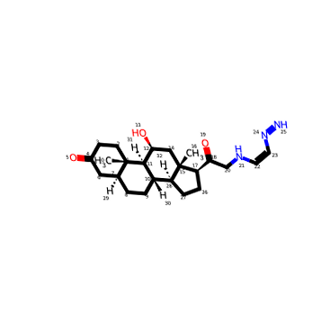 C[C@]12CCC(=O)C[C@@H]1CC[C@@H]1[C@@H]2[C@@H](O)C[C@]2(C)[C@@H](C(=O)CN/C=C\N=N)CC[C@@H]12